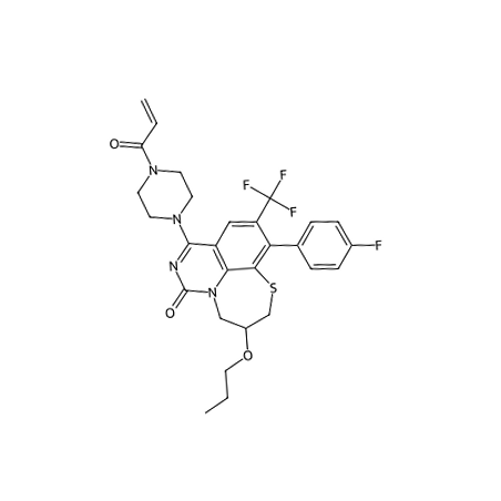 C=CC(=O)N1CCN(c2nc(=O)n3c4c(c(-c5ccc(F)cc5)c(C(F)(F)F)cc24)SCC(OCCC)C3)CC1